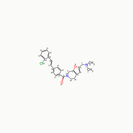 CN(C)Cc1cc2c(o1)CN(C(=O)c1ccc(C=Cc3ccccc3Cl)cc1)CC2